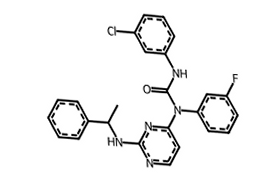 CC(Nc1nccc(N(C(=O)Nc2cccc(Cl)c2)c2cccc(F)c2)n1)c1ccccc1